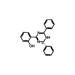 Oc1ccccc1C1=N[C@@H](c2ccccc2)NC(c2ccccc2)=N1